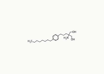 CCCCCCCCc1ccc(CCCC(N)(CO)CO)cc1